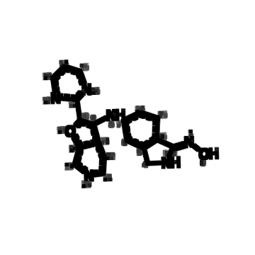 O/N=C1\NCc2cc(Nc3c(-c4ncccn4)oc4cnccc34)ccc21